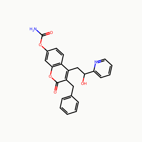 NC(=O)Oc1ccc2c(CC(O)c3ccccn3)c(Cc3ccccc3)c(=O)oc2c1